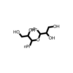 CCCC(OC(CCC)C(O)CO)C(O)CO